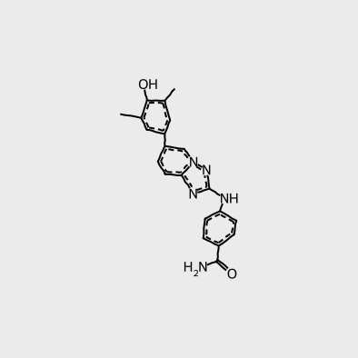 Cc1cc(-c2ccc3nc(Nc4ccc(C(N)=O)cc4)nn3c2)cc(C)c1O